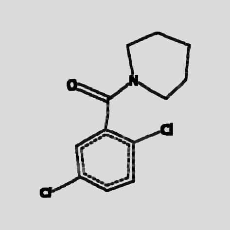 O=C(c1cc(Cl)ccc1Cl)N1CCCCC1